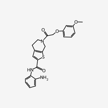 COc1cccc(OCC(=O)N2CCc3cc(C(=O)Nc4ccccc4N)sc3C2)c1